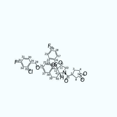 O=C(C1CCS(=O)(=O)C1)N1CC[C@@]2(S(=O)(=O)c3ccc(F)cc3)c3ccc(OCc4ccc(F)cc4Cl)cc3CC[C@@H]12